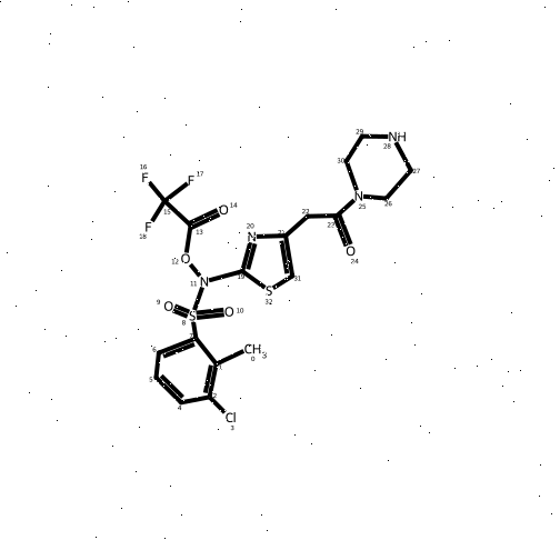 Cc1c(Cl)cccc1S(=O)(=O)N(OC(=O)C(F)(F)F)c1nc(CC(=O)N2CCNCC2)cs1